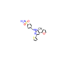 N#Cc1c(-c2ccco2)cc(-c2cccs2)nc1NCc1ccc(S(N)(=O)=O)cc1